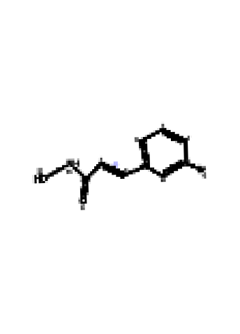 O=C(/C=C/c1cccc(Br)c1)NO